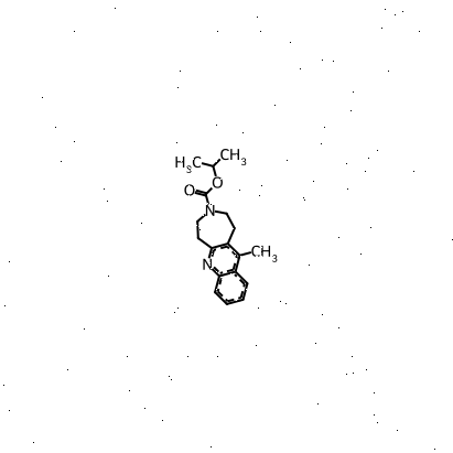 Cc1c2c(nc3ccccc13)CCN(C(=O)OC(C)C)CC2